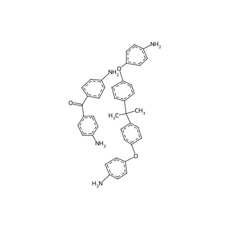 CC(C)(c1ccc(Oc2ccc(N)cc2)cc1)c1ccc(Oc2ccc(N)cc2)cc1.Nc1ccc(C(=O)c2ccc(N)cc2)cc1